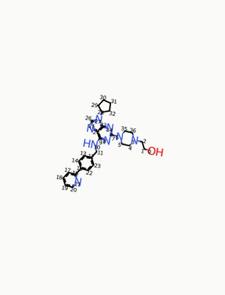 OCCN1CCN(c2nc(NCc3ccc(-c4ccccn4)cc3)c3ncn(C4CCCC4)c3n2)CC1